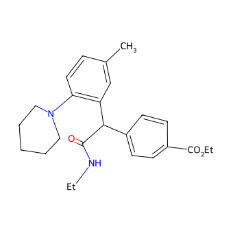 CCNC(=O)C(c1ccc(C(=O)OCC)cc1)c1cc(C)ccc1N1CCCCC1